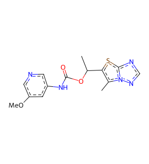 COc1cncc(NC(=O)OC(C)c2sc3ncnn3c2C)c1